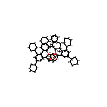 O=P1(O)Oc2c(-c3c(C4CCCCC4)cc(C4CCCCC4)cc3C3CCCCC3)cc3c(c2[C@H]2c4ccccc4CC(c4c(C5CCCCC5)cc(C5CCCCC5)cc4C4CCCCC4)[C@H]2O1)CCCC3